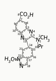 CC(C)N(C)c1nc2cc(C(=O)O)ccc2nc1-c1ccc2cnn(C)c2c1